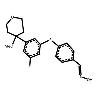 COC1(c2cc(F)cc(Sc3ccc(C=NO)cc3)c2)CCOCC1